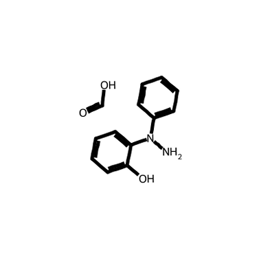 NN(c1ccccc1)c1ccccc1O.O=CO